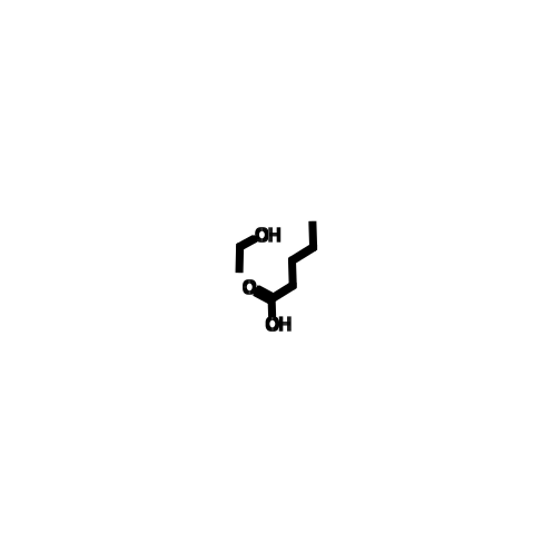 CCCCC(=O)O.CCO